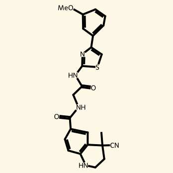 COc1cccc(-c2csc(NC(=O)CNC(=O)c3ccc4c(c3)C(C)(C#N)CCN4)n2)c1